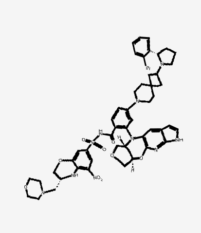 CC(C)c1ccccc1[C@@H]1CCCN1C1CC2(CCN(c3ccc(C(=O)NS(=O)(=O)c4cc5c(c([N+](=O)[O-])c4)N[C@H](CN4CCOCC4)CO5)c(N4c5cc6cc[nH]c6nc5O[C@H]5COC[C@@H]54)c3)CC2)C1